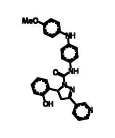 COc1ccc(Nc2ccc(NC(=O)N3N=C(c4cccnc4)CC3c3ccccc3O)cc2)cc1